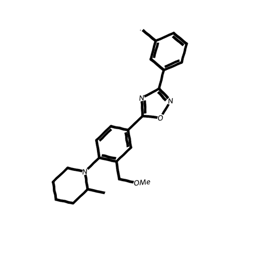 [CH2]c1cccc(-c2noc(-c3ccc(N4CCCCC4C)c(COC)c3)n2)c1